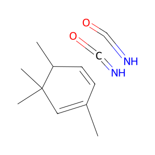 CC1=CC(C)(C)C(C)C=C1.N=C=O.N=C=O